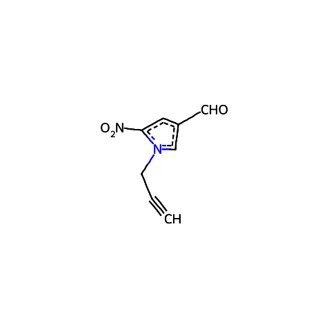 C#CCn1cc(C=O)cc1[N+](=O)[O-]